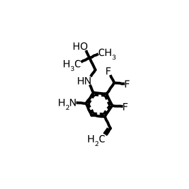 C=Cc1cc(N)c(NCC(C)(C)O)c(C(F)F)c1F